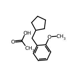 CC(=O)O.COc1ccccc1CC1CCCC1